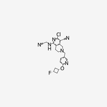 N#CCNc1nc(Cl)c(C#N)c2c1CCN(Cc1ccc(O[C@H]3C[C@@H](F)C3)nc1)C2